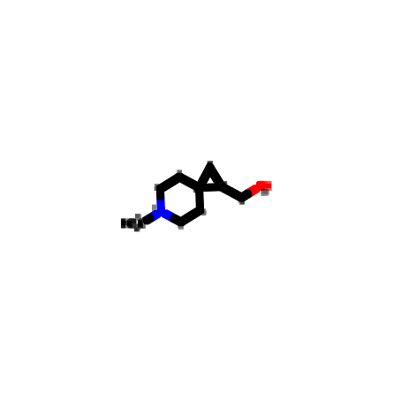 O=C(O)N1CCC2(CC1)CC2CO